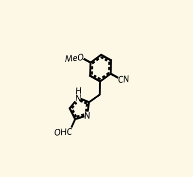 COc1ccc(C#N)c(Cc2nc(C=O)c[nH]2)c1